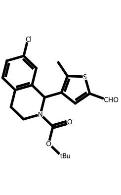 Cc1sc(C=O)cc1C1c2cc(Cl)ccc2CCN1C(=O)OC(C)(C)C